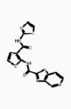 O=C(Nc1sccc1C(=O)Nc1nccs1)c1nc2cnccc2s1